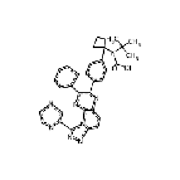 CC(C)(C)N(C(=O)O)C1(c2ccc(-c3nc4ccc5nnc(-c6cnccn6)n5c4nc3-c3ccccc3)cc2)CCC1